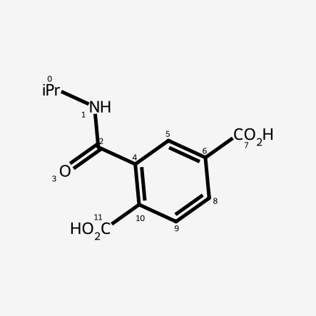 CC(C)NC(=O)c1cc(C(=O)O)ccc1C(=O)O